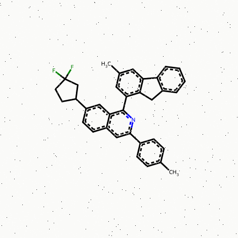 Cc1ccc(-c2cc3ccc(C4CCC(F)(F)C4)cc3c(-c3cc(C)cc4c3Cc3ccccc3-4)n2)cc1